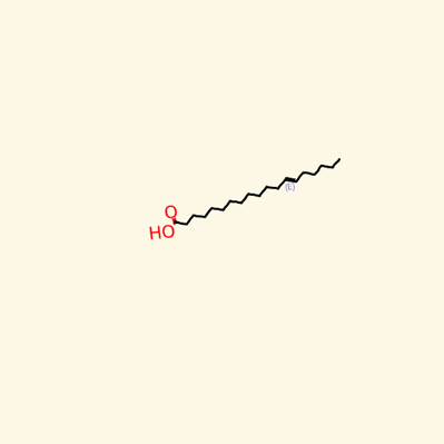 CCCCC/C=C/CCCCCCCCCCCC(=O)O